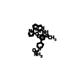 COc1cc(C2CCN(CC(N)=O)CC2)ccc1Nc1ncc2ccc(-c3ncccc3OC)n2n1